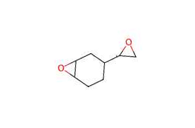 C1O[C]1C1CCC2OC2C1